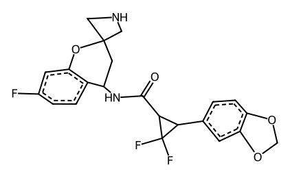 O=C(NC1CC2(CNC2)Oc2cc(F)ccc21)C1C(c2ccc3c(c2)OCO3)C1(F)F